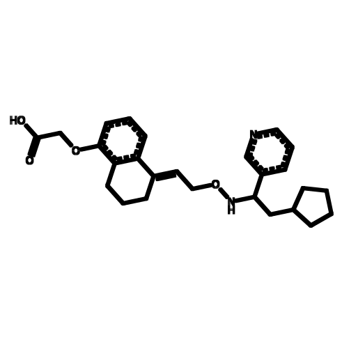 O=C(O)COc1cccc2c1CCCC2=CCONC(CC1CCCC1)c1cccnc1